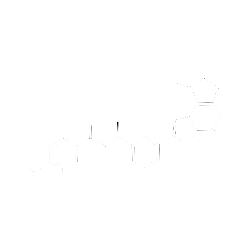 C[C@H](NC(=O)c1ccc(C#N)nc1)c1cccc(-c2nc3c(ncc4ncn(C)c43)s2)c1